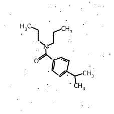 CCCN(CCC)C(=O)c1ccc(C(C)C)cc1